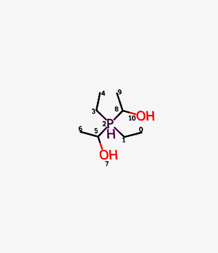 CC[PH](CC)(C(C)O)C(C)O